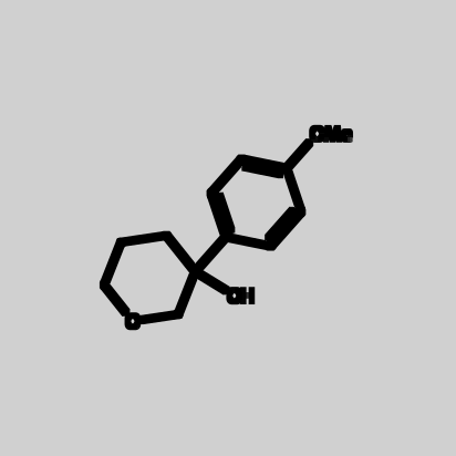 COc1ccc(C2(O)CCCOC2)cc1